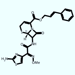 CON=C(C(=O)NC1C(=O)N2C(C(=O)OCC=Cc3ccccc3)=CCS[C@@H]12)c1csc(N)n1